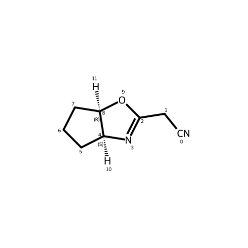 N#CCC1=N[C@H]2CCC[C@H]2O1